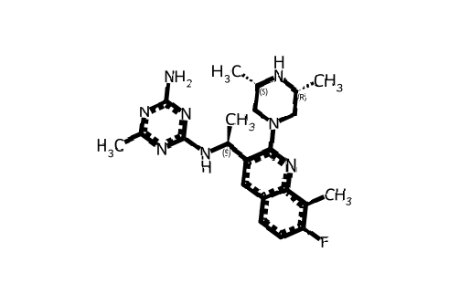 Cc1nc(N)nc(N[C@@H](C)c2cc3ccc(F)c(C)c3nc2N2C[C@@H](C)N[C@@H](C)C2)n1